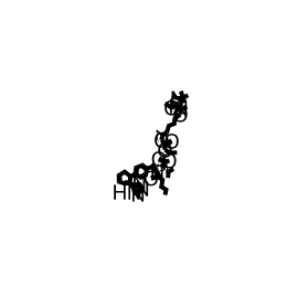 CCCCC(=O)N(Cc1ccc(C2CC=CC=C2c2nnn[nH]2)cc1)[C@H](C(=O)OC(C)OC(=O)O[C@@H](C)CCCCON(C)N(OC)N(C)C(C)(C)C)C(C)C